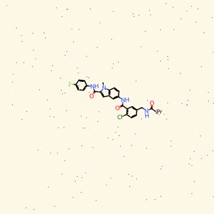 CC(C)C(=O)NCc1ccc(Cl)c(C(=O)Nc2ccc3c(c2)cc(C(=O)Nc2ccc(F)cc2)n3C)c1